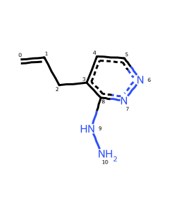 C=CCc1ccnnc1NN